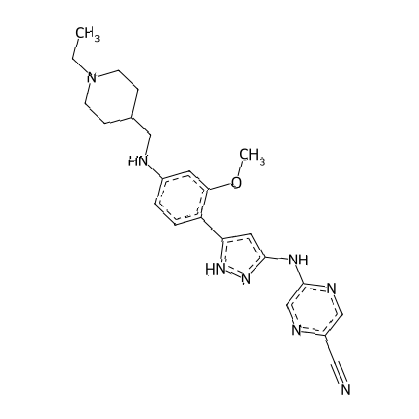 CCN1CCC(CNc2ccc(-c3cc(Nc4cnc(C#N)cn4)n[nH]3)c(OC)c2)CC1